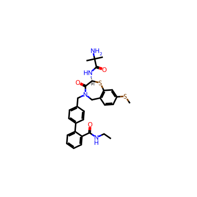 CCNC(=O)c1ccccc1-c1ccc(CN2Cc3ccc(SC)cc3S[C@@H](NC(=O)C(C)(C)N)C2=O)cc1